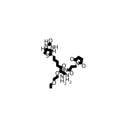 CCOCCOC(C(=O)CCCC[C@@H]1SC[C@@H]2NC(=O)N[C@@H]21)C(N)(N)NC(=O)CCN1C(=O)C=CC1=O